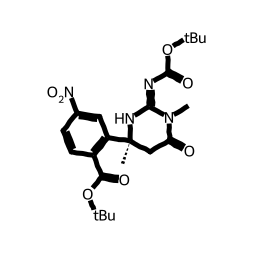 CN1C(=O)C[C@@](C)(c2cc([N+](=O)[O-])ccc2C(=O)OC(C)(C)C)N/C1=N/C(=O)OC(C)(C)C